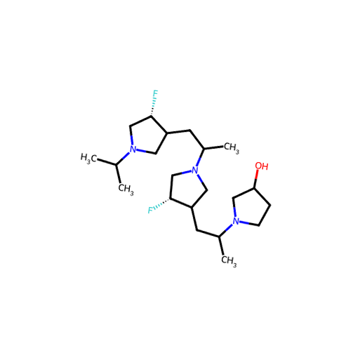 CC(C)N1CC(CC(C)N2CC(CC(C)N3CCC(O)C3)[C@H](F)C2)[C@@H](F)C1